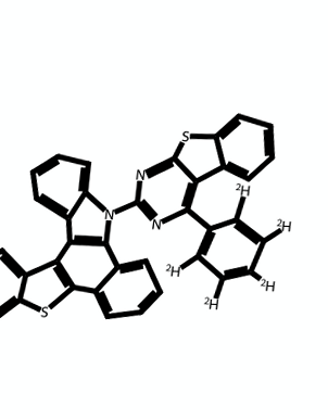 [2H]c1c([2H])c([2H])c(-c2nc(-n3c4ccccc4c4c5c6ccccc6sc5c5ccccc5c43)nc3sc4ccccc4c23)c([2H])c1[2H]